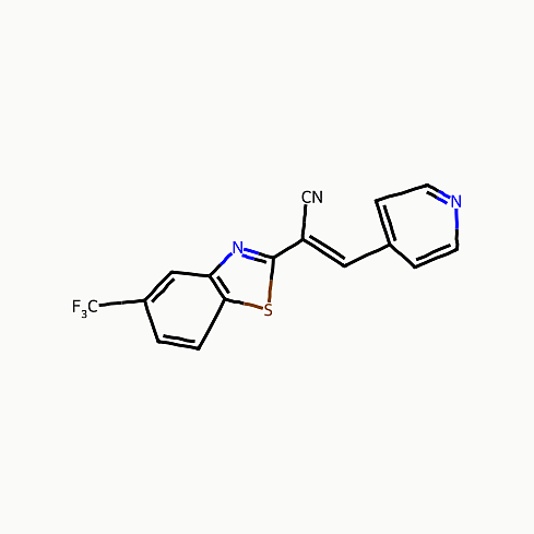 N#C/C(=C\c1ccncc1)c1nc2cc(C(F)(F)F)ccc2s1